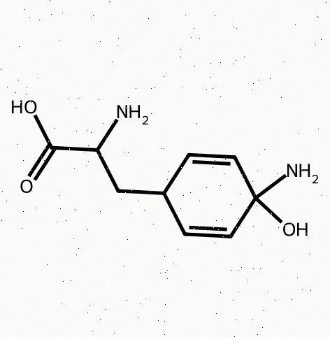 NC(CC1C=CC(N)(O)C=C1)C(=O)O